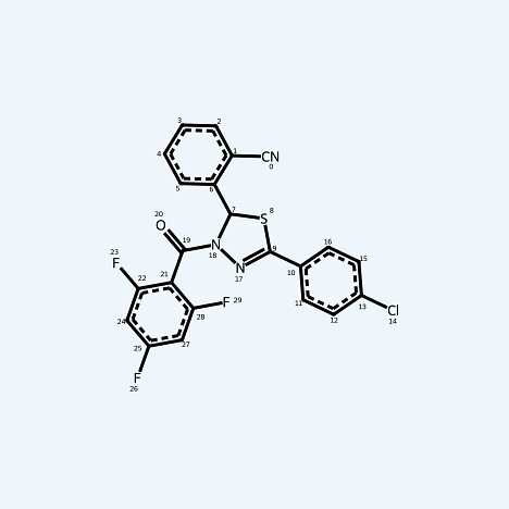 N#Cc1ccccc1C1SC(c2ccc(Cl)cc2)=NN1C(=O)c1c(F)cc(F)cc1F